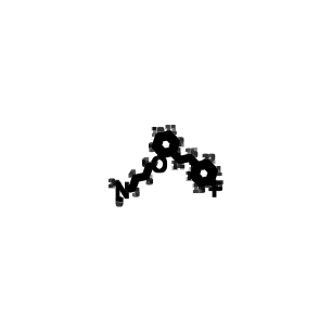 CN(C)CCCCOc1ccccc1CCc1ccc(F)cc1